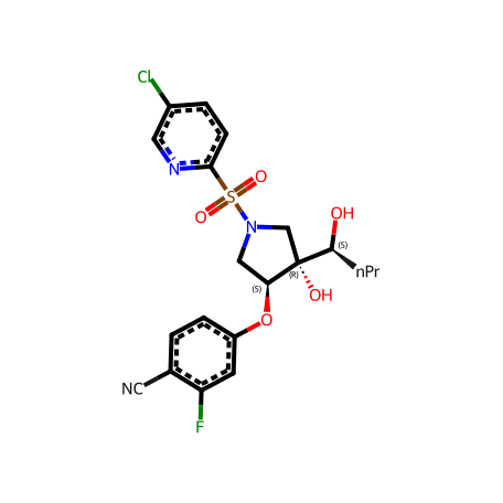 CCC[C@H](O)[C@]1(O)CN(S(=O)(=O)c2ccc(Cl)cn2)C[C@@H]1Oc1ccc(C#N)c(F)c1